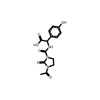 CC(=O)N1CCN(C(=O)NC(C(=O)O)c2ccc(O)cc2)C1=O